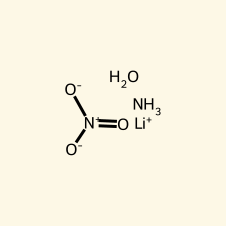 N.O.O=[N+]([O-])[O-].[Li+]